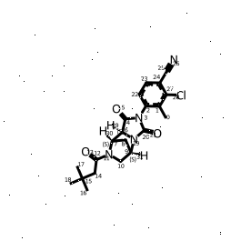 Cc1c(N2C(=O)[C@@H]3[C@@H]4C[C@@H](CN4C(=O)CC(C)(C)C)N3C2=O)ccc(C#N)c1Cl